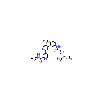 CNC(=O)c1cc(-c2cc(-c3cc(NC(=O)N4CC[C@H](C(C)C)C4)ccc3C)ccn2)ccn1